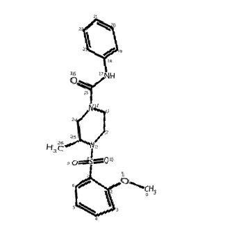 COc1ccccc1S(=O)(=O)N1CCN(C(=O)Nc2ccccc2)C[C@@H]1C